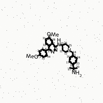 COc1ccc(-c2nnc(NC3CCN(Cc4ccc(C(C)(C)N)cc4)CC3)c3cc(OC)ccc23)cc1